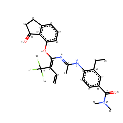 C=C/C(=C(\N=C(/C)Nc1ccc(C(=O)N(C)C)cc1CC)Oc1cccc2c1C(=O)CC2)C(F)(F)F